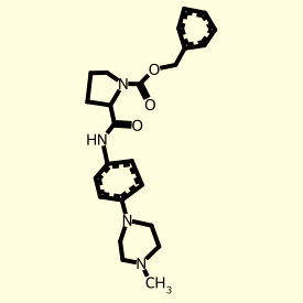 CN1CCN(c2ccc(NC(=O)C3CCCN3C(=O)OCc3ccccc3)cc2)CC1